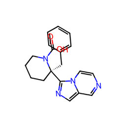 O=C(O)N1CCCC[C@]1(Cc1ccccc1)c1ncc2cnccn12